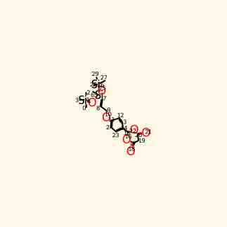 C[Si](C)(C)O[Si](C)(C=CCOc1ccc(C2OC(=O)CC(=O)O2)cc1)O[Si](C)(C)C